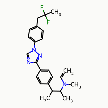 C=CN(C)C(C)C(C)c1ccc(-c2ncn(-c3ccc(CC(C)(F)F)cc3)n2)cc1